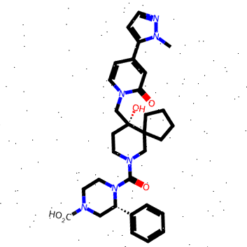 Cn1nccc1-c1ccn(C[C@]2(O)CCN(C(=O)N3CCN(C(=O)O)C[C@H]3c3ccccc3)CC23CCCC3)c(=O)c1